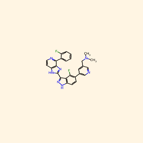 CN(C)Cc1cncc(-c2ccc3[nH]nc(-c4nc5c(-c6ccccc6F)nccc5[nH]4)c3c2F)c1